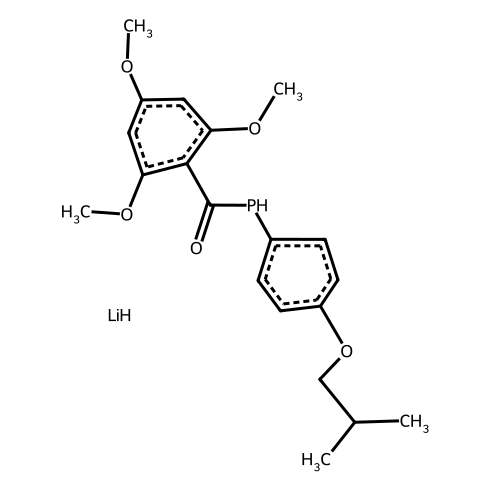 COc1cc(OC)c(C(=O)Pc2ccc(OCC(C)C)cc2)c(OC)c1.[LiH]